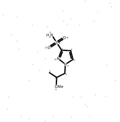 COC(C)Cn1ccc(S(N)(=O)=O)n1